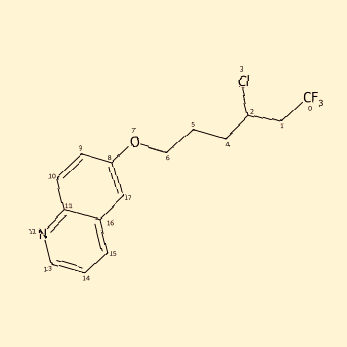 FC(F)(F)CC(Cl)CCCOc1ccc2ncccc2c1